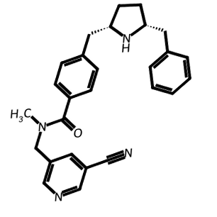 CN(Cc1cncc(C#N)c1)C(=O)c1ccc(C[C@@H]2CC[C@H](Cc3ccccc3)N2)cc1